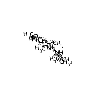 CCc1nn(CCNC(=O)OC(C)(C)C)c(CC)c1Sc1ccc(NS(C)(=O)=O)cc1